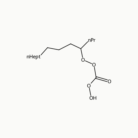 CCCCCCCCCCC(CCC)OOC(=O)OO